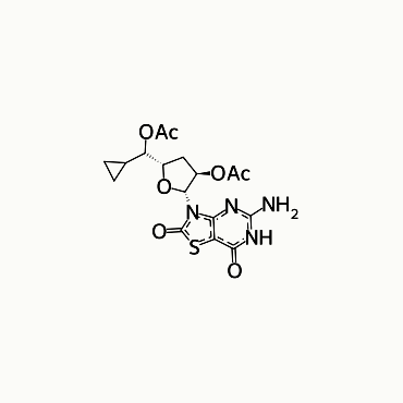 CC(=O)OC(C1CC1)[C@@H]1C[C@@H](OC(C)=O)[C@H](n2c(=O)sc3c(=O)[nH]c(N)nc32)O1